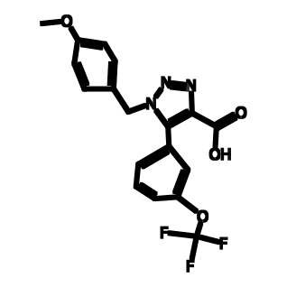 COc1ccc(Cn2nnc(C(=O)O)c2-c2cccc(OC(F)(F)F)c2)cc1